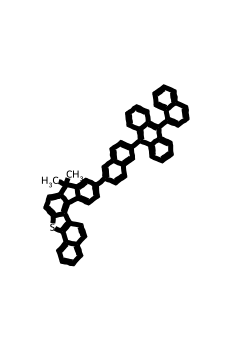 CC1(C)c2cc(-c3ccc4cc(-c5c6ccccc6c(-c6cccc7ccccc67)c6ccccc56)ccc4c3)ccc2-c2c1ccc1sc3c4ccccc4ccc3c21